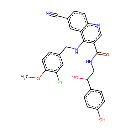 COc1ccc(CNc2c(C(=O)NCC(O)c3ccc(O)cc3)cnc3ccc(C#N)cc23)cc1Cl